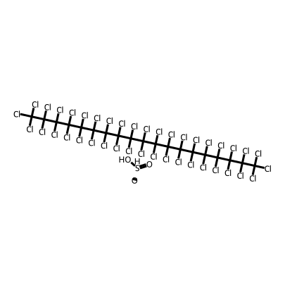 ClC(Cl)(Cl)C(Cl)(Cl)C(Cl)(Cl)C(Cl)(Cl)C(Cl)(Cl)C(Cl)(Cl)C(Cl)(Cl)C(Cl)(Cl)C(Cl)(Cl)C(Cl)(Cl)C(Cl)(Cl)C(Cl)(Cl)C(Cl)(Cl)C(Cl)(Cl)C(Cl)(Cl)C(Cl)(Cl)C(Cl)(Cl)C(Cl)(Cl)C(Cl)(Cl)Cl.O=[SH](=O)O